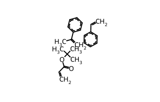 C=C(C)c1ccccc1.C=CC(=O)OC(C)(C)C.C=Cc1ccccc1